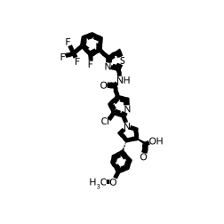 COc1ccc([C@@H]2CN(c3ncc(C(=O)Nc4nc(-c5cccc(C(F)(F)F)c5F)cs4)cc3Cl)C[C@H]2C(=O)O)cc1